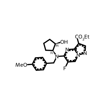 CCOC(=O)c1cnn2cc(F)c(N(Cc3ccc(OC)cc3)[C@H]3CCC[C@H]3O)nc12